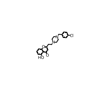 O=c1cc(CCN2CCN(Cc3ccc(Cl)cc3)CC2)oc2cccc(O)c12